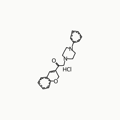 Cl.O=C(CN1CCN(c2ccccc2)CC1)C1=Cc2ccccc2OC1